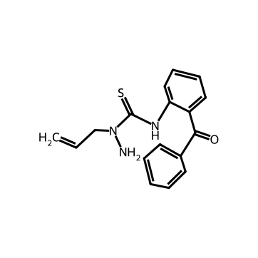 C=CCN(N)C(=S)Nc1ccccc1C(=O)c1ccccc1